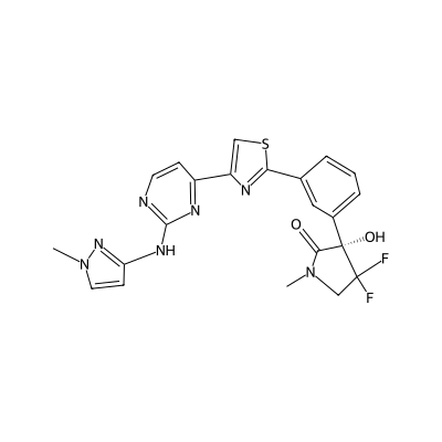 CN1CC(F)(F)[C@](O)(c2cccc(-c3nc(-c4ccnc(Nc5ccn(C)n5)n4)cs3)c2)C1=O